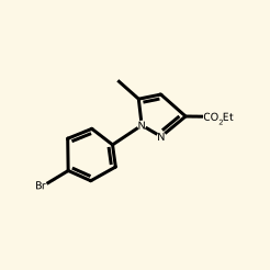 CCOC(=O)c1cc(C)n(-c2ccc(Br)cc2)n1